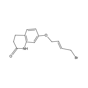 O=C1CCc2ccc(OCC=CCBr)cc2N1